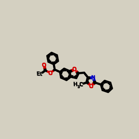 CCC(=O)OC(c1ccccc1)c1ccc2cc(Cc3nc(-c4ccccc4)oc3C)oc2c1